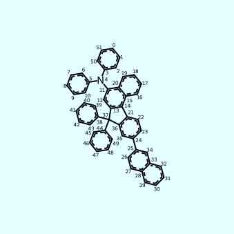 c1ccc(N(c2ccccc2)c2cc3c(c4ccccc24)-c2ccc(-c4ccc5ccccc5c4)cc2C3(c2ccccc2)c2ccccc2)cc1